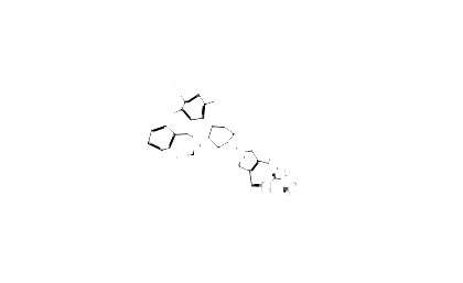 CS(=O)(=O)c1ncc2c(n1)CN([C@H]1CC[C@H](c3cc(F)c(F)cc3F)[C@@H](N(Cc3ccccc3)C(=O)O)C1)C2